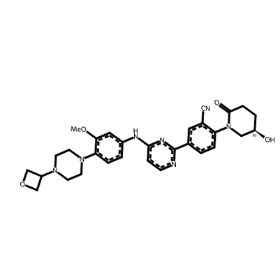 COc1cc(Nc2ccnc(-c3ccc(N4C[C@H](O)CCC4=O)c(C#N)c3)n2)ccc1N1CCN(C2COC2)CC1